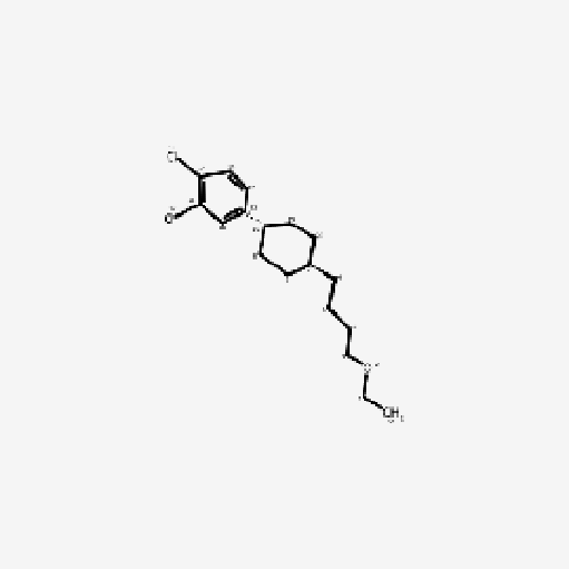 CCOCCCC[C@H]1CC[C@H](c2ccc(Cl)c(Cl)c2)CC1